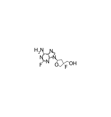 Nc1nc(F)nc2c1ncn2[C@H]1C[C@@](F)(CO)CO1